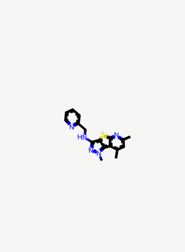 Cc1cc(C)c2c(n1)sc1c(NCc3ccccn3)nn(C)c12